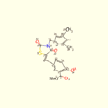 COC(=O)c1cc(C=C2SC(=O)N(Cc3cc(C)cc(C)c3)C2=O)ccc1O